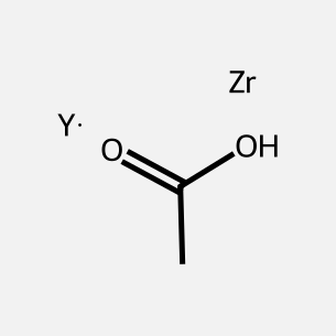 CC(=O)O.[Y].[Zr]